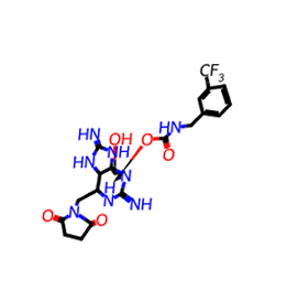 N=C1NC2C(CN3C(=O)CCC3=O)NC(=N)N3C[C@H](OC(=O)NCc4cccc(C(F)(F)F)c4)[C@@H](O)C23N1